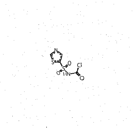 O=C(Cl)NS(=O)(=O)c1cncs1